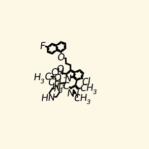 Cc1nn(C)c(C)c1-c1c(Cl)ccc2c(CCCOc3cccc4cc(F)ccc34)c(C(=O)OC(C)(C)C)n(CCN3CCNCC3)c12